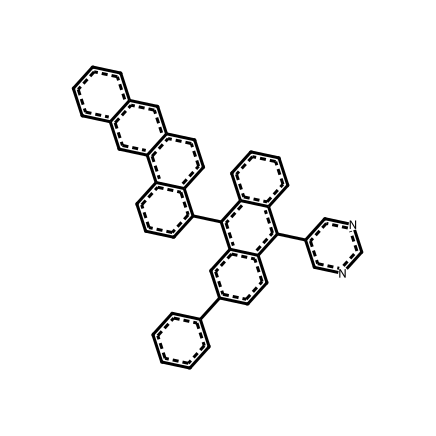 c1ccc(-c2ccc3c(-c4cncnc4)c4ccccc4c(-c4cccc5c4ccc4cc6ccccc6cc45)c3c2)cc1